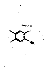 N#[N+]c1cc(F)c(Cl)cc1Cl.O=S(=O)([O-])O